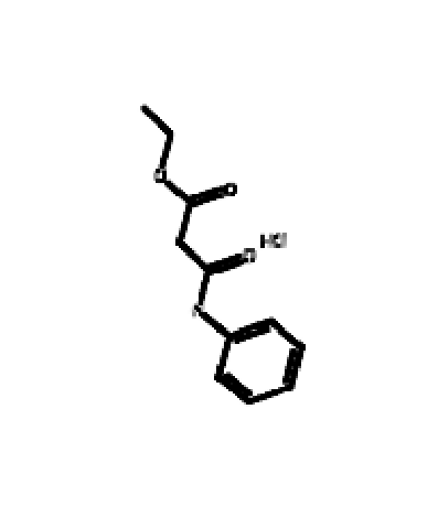 CCOC(=O)CC(=O)[N]c1ccccc1.Cl